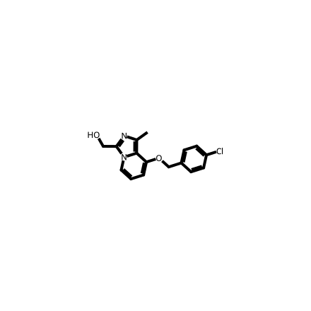 Cc1nc(CO)n2cccc(OCc3ccc(Cl)cc3)c12